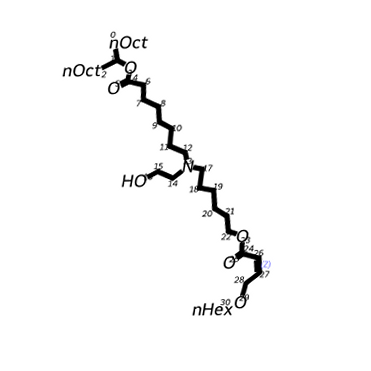 CCCCCCCCC(CCCCCCCC)OC(=O)CCCCCCCN(CCO)CCCCCCOC(=O)/C=C\COCCCCCC